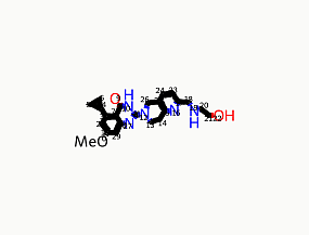 COc1cc(C2CC2)c2c(=O)[nH]c(N3CCc4nc(CNCCO)ccc4C3)nc2c1